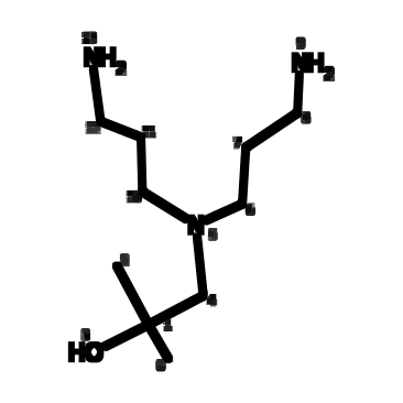 CC(C)(O)CN(CCCN)CCCN